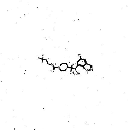 CC(C)(C1CCN(C(=O)NCCC(F)(F)F)CC1)[C@H](O)c1cc(Cl)cc2cn[nH]c12